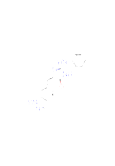 O=C1NC(Nc2ccccc2)=NC1=Cc1ccc2cn[nH]c2c1